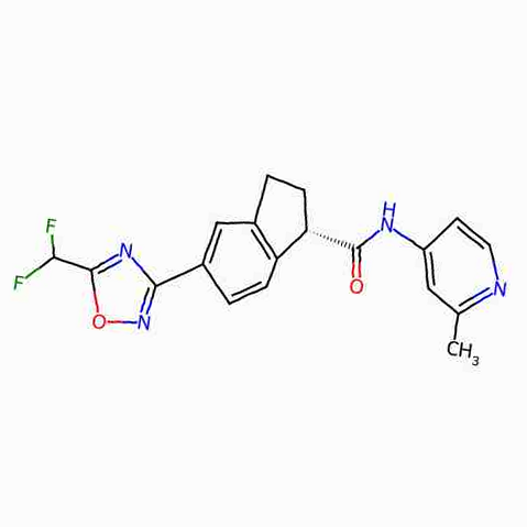 Cc1cc(NC(=O)[C@H]2CCc3cc(-c4noc(C(F)F)n4)ccc32)ccn1